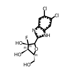 OC[C@H]1OC(c2nc3cc(Cl)c(Cl)cc3[nH]2)[C@@](O)(F)[C@@H]1O